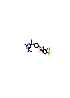 Cc1nc(NC2CCC(NC(=O)c3ccc(F)c(Cl)c3)CC2)cc(N(C)C)n1